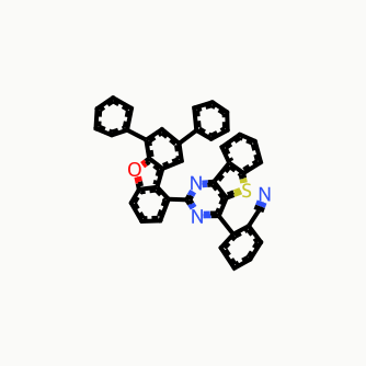 N#Cc1ccccc1-c1nc(-c2cccc3oc4c(-c5ccccc5)cc(-c5ccccc5)cc4c23)nc2c1sc1ccccc12